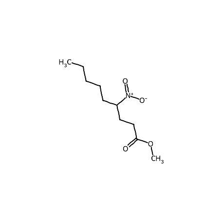 CCCCCC(CCC(=O)OC)[N+](=O)[O-]